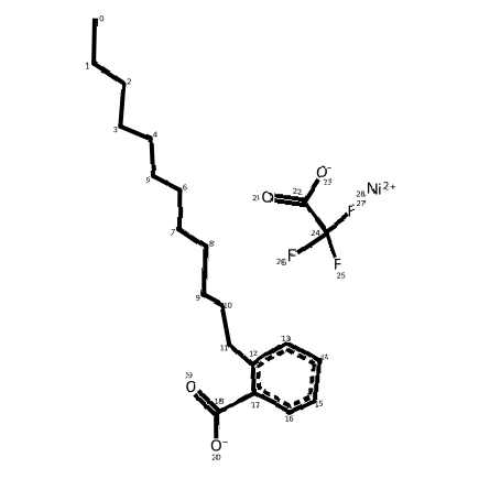 CCCCCCCCCCCCc1ccccc1C(=O)[O-].O=C([O-])C(F)(F)F.[Ni+2]